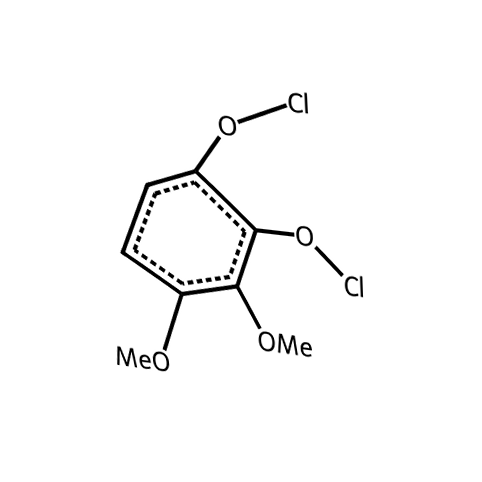 COc1ccc(OCl)c(OCl)c1OC